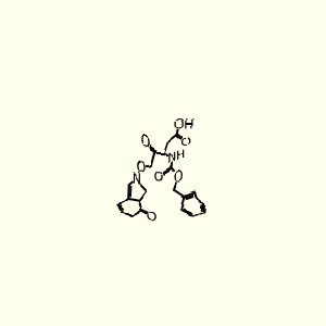 O=C(O)CC(NC(=O)OCc1ccccc1)C(=O)CON1C=C2C=CCC(=O)C2C1